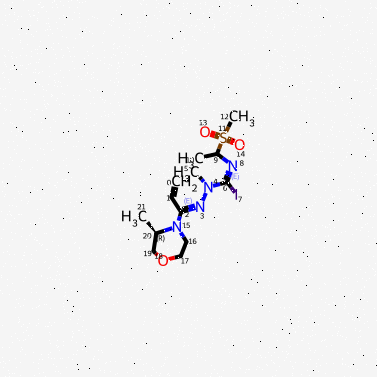 C=C/C(=N\N(C)/C(I)=N\C(C)S(C)(=O)=O)N1CCOC[C@H]1C